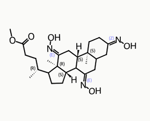 COC(=O)CC[C@@H](C)C1CC[C@H]2C3/C(=N/O)CC4C/C(=N\O)CC[C@]4(C)[C@H]3C/C(=N\O)[C@]12C